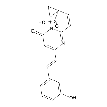 O=C(O)C12C=Cc3nc(/C=C/c4cccc(O)c4)cc(=O)n3C1C2